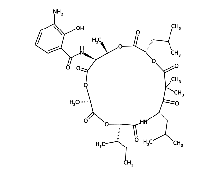 CCC(C)[C@@H]1OC(=O)[C@H](C)OC(=O)[C@@H](NC(=O)c2cccc(N)c2O)[C@@H](C)OC(=O)[C@H](CC(C)C)OC(=O)C(C)(C)C(=O)[C@H](CC(C)C)NC1=O